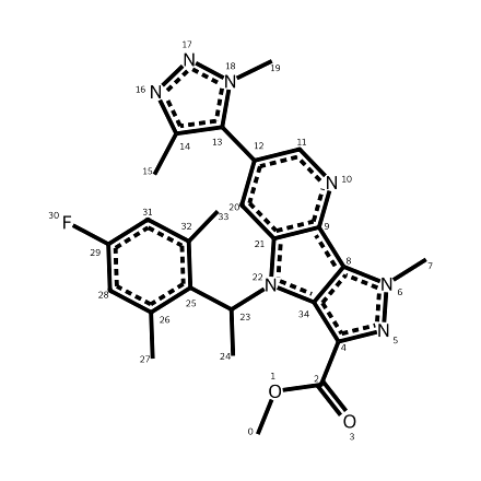 COC(=O)c1nn(C)c2c3ncc(-c4c(C)nnn4C)cc3n(C(C)c3c(C)cc(F)cc3C)c12